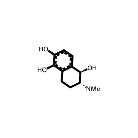 CN[C@@H]1CCc2c(ccc(O)c2O)[C@H]1O